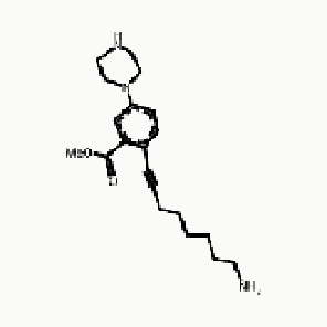 COC(=O)c1cc(N2CCNCC2)ccc1C#CCCCCCCN